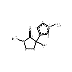 CN1CCC(O)(c2ccn(C)n2)C1=O